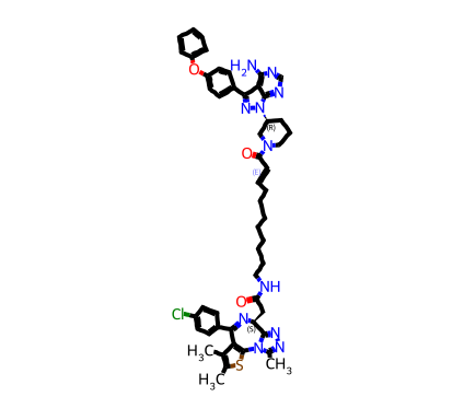 Cc1sc2c(c1C)C(c1ccc(Cl)cc1)=N[C@@H](CC(=O)NCCCCCCCC/C=C/C(=O)N1CCC[C@@H](n3nc(-c4ccc(Oc5ccccc5)cc4)c4c(N)ncnc43)C1)c1nnc(C)n1-2